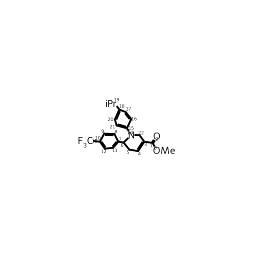 COC(=O)C1=CCC(c2ccc(C(F)(F)F)cc2)N(c2ccc(C(C)C)cc2)C1